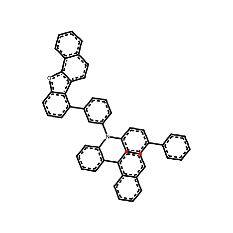 c1ccc(-c2ccc(N(c3cccc(-c4cccc5oc6c7ccccc7ccc6c45)c3)c3ccccc3-c3cccc4ccccc34)cc2)cc1